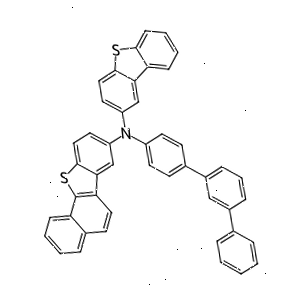 c1ccc(-c2cccc(-c3ccc(N(c4ccc5sc6ccccc6c5c4)c4ccc5sc6c7ccccc7ccc6c5c4)cc3)c2)cc1